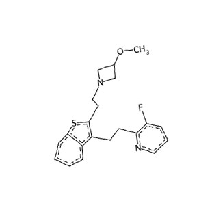 COC1CN(CCc2sc3ccccc3c2CCc2ncccc2F)C1